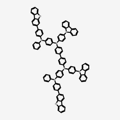 c1ccc(N(c2ccc(-c3ccc4c(c3)oc3ccccc34)cc2)c2ccc(N(c3ccc(-c4ccc(N(c5ccc(N(c6ccccc6)c6ccc(-c7ccc8c(c7)oc7ccccc78)cc6)cc5)c5ccc(-n6c7ccccc7c7ccccc76)cc5)cc4)cc3)c3ccc(-n4c5ccccc5c5ccccc54)cc3)cc2)cc1